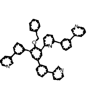 c1ccc(COc2c(-c3cccc(-c4cccnc4)c3)cc(-c3cccc(-c4cccnc4)c3)cc2-c2cccc(-c3cccc(-c4cccnc4)c3)n2)cc1